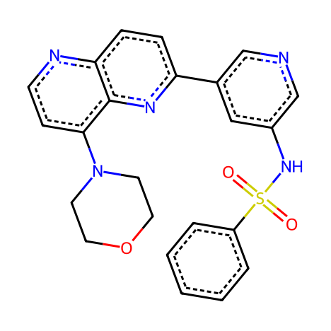 O=S(=O)(Nc1cncc(-c2ccc3nccc(N4CCOCC4)c3n2)c1)c1ccccc1